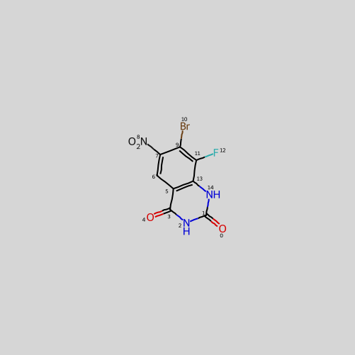 O=c1[nH]c(=O)c2cc([N+](=O)[O-])c(Br)c(F)c2[nH]1